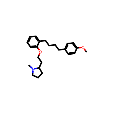 COc1ccc(CCCCc2ccccc2OCCC2CCCN2C)cc1